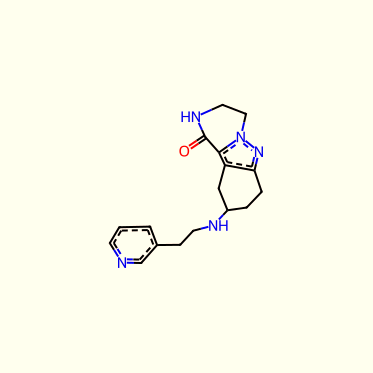 O=C1NCCn2nc3c(c21)CC(NCCc1cccnc1)CC3